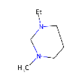 CCN1CCCN(C)C1